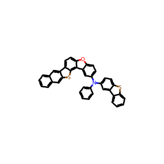 c1ccc(N(c2ccc3sc4ccccc4c3c2)c2ccc3oc4ccc5c6cc7ccccc7cc6sc5c4c3c2)cc1